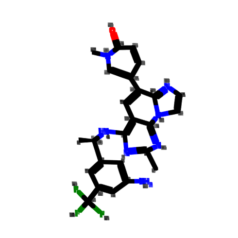 Cc1nc(N[C@H](C)c2cc(N)cc(C(F)(F)F)c2)c2cc(-c3ccc(=O)n(C)c3)c3nccn3c2n1